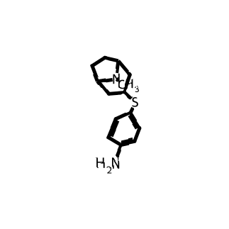 CN1C2CCC1CC(Sc1ccc(N)cc1)C2